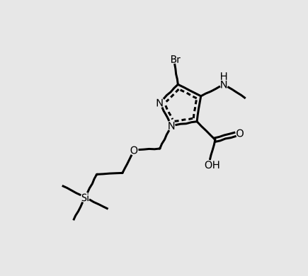 CNc1c(Br)nn(COCC[Si](C)(C)C)c1C(=O)O